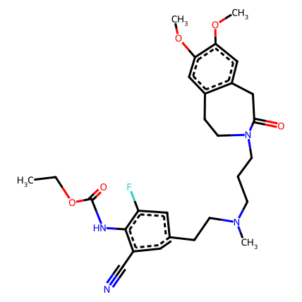 CCOC(=O)Nc1c(F)cc(CCN(C)CCCN2CCc3cc(OC)c(OC)cc3CC2=O)cc1C#N